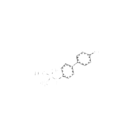 C[Si](C)(C)Sc1ccc(-c2ccc(F)cc2)cc1